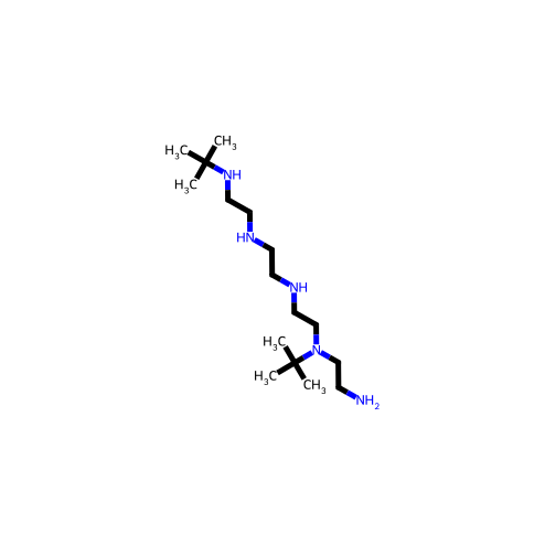 CC(C)(C)NCCNCCNCCN(CCN)C(C)(C)C